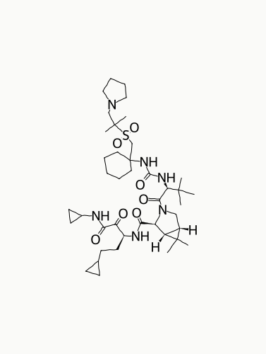 CC(C)(C)[C@H](NC(=O)NC1(CS(=O)(=O)C(C)(C)CN2CCCC2)CCCCC1)C(=O)N1C[C@H]2[C@@H]([C@H]1C(=O)N[C@@H](CCC1CC1)C(=O)C(=O)NC1CC1)C2(C)C